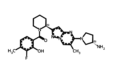 Cc1cn2nc([C@@H]3CCCCN3C(=O)c3ccc(C)c(F)c3O)cc2nc1N1CC[C@H](N)C1